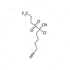 C#CCCCCC(Cl)(C#N)S(=O)(=O)CCC(F)(F)F